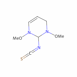 CON1C=CCN(OC)C1N=C=S